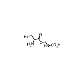 N[C@@H](CS)C(=O)OCNC(=O)O